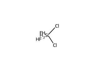 Cl[SiH2]Cl.F.F